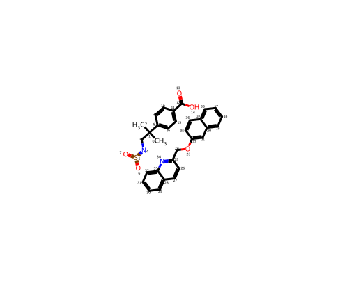 CC(C)(CN=S(=O)=O)c1ccc(C(=O)O)cc1.c1ccc2cc(OCc3ccc4ccccc4n3)ccc2c1